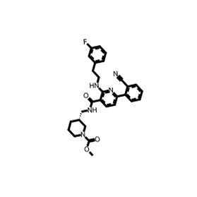 COC(=O)N1CCC[C@H](CNC(=O)c2ccc(-c3ccccc3C#N)nc2NCCc2cccc(F)c2)C1